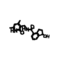 Cc1cc(C)c(CNC(=O)c2cccc3c2CCC3O)c(=O)[nH]1